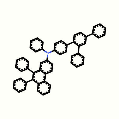 c1ccc(-c2ccc(-c3ccc(N(c4ccccc4)c4ccc5c(c4)c(-c4ccccc4)c(-c4ccccc4)c4ccccc45)cc3)c(-c3ccccc3)c2)cc1